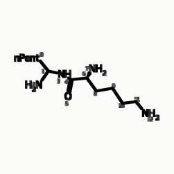 CCCCCC(N)NC(=O)[C@@H](N)CCCCN